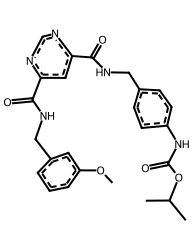 COc1cccc(CNC(=O)c2cc(C(=O)NCc3ccc(NC(=O)OC(C)C)cc3)ncn2)c1